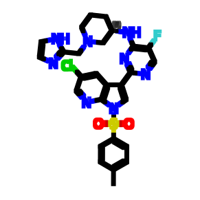 Cc1ccc(S(=O)(=O)n2cc(-c3ncc(F)c(N[C@@H]4CCCN(Cc5ncc[nH]5)C4)n3)c3cc(Cl)cnc32)cc1